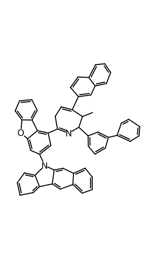 CC1C(c2ccc3ccccc3c2)=CCC(c2cc(-n3c4ccccc4c4cc5ccccc5cc43)cc3oc4ccccc4c23)=NC1c1cccc(-c2ccccc2)c1